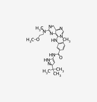 COCCN(C)c1ncc2ncnc(Nc3cc(C(=O)Nc4cc(C(C)(C)C)n[nH]4)ccc3C)c2n1